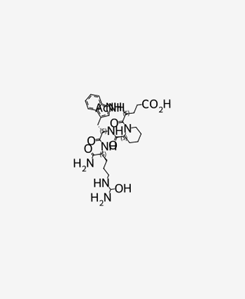 CC(=O)N[C@@H](CCC(=O)O)C(=O)N1CCCC[C@H]1C(=O)N[C@@H](Cc1c[nH]c2ccccc12)C(=O)N[C@@H](CCCNC(N)O)C(N)=O